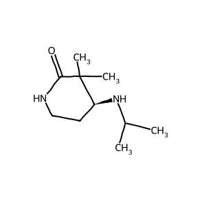 CC(C)N[C@H]1CCNC(=O)C1(C)C